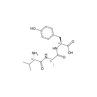 CC(C)[C@H](N)C(=O)N[C@@H](C)C(=O)N[C@@H](Cc1ccc(O)cc1)C(=O)O